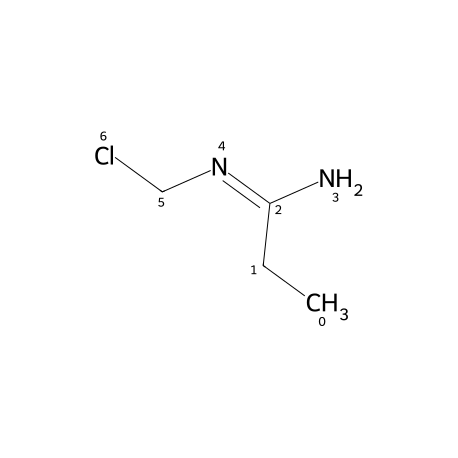 CC/C(N)=N\CCl